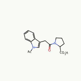 CC(=O)n1cc(CC(=O)N2CCCC2C(=O)O)c2ccccc21